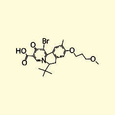 COCCCOc1cc2c(cc1C)-c1c(Br)c(=O)c(C(=O)O)cn1C(C(C)(C)C)C2